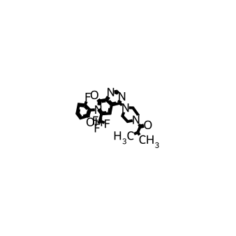 CC(C)C(=O)N1CCN(c2ncnc3c(=O)n(-c4c(O)cccc4F)c(C(F)(F)F)cc23)CC1